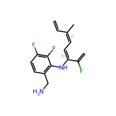 C=C/C(C)=C\C=C(\Nc1c(CN)ccc(F)c1F)C(=C)F